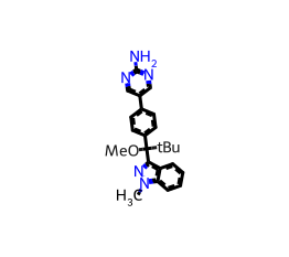 COC(c1ccc(-c2cnc(N)nc2)cc1)(c1nn(C)c2ccccc12)C(C)(C)C